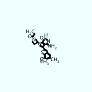 C=CC(=O)N1CCC(n2cc(-c3cc4cc(C)cc(OC)c4s3)c3c(N)n[nH]c(=O)c32)C1